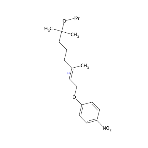 C/C(=C\COc1ccc([N+](=O)[O-])cc1)CCCC(C)(C)OC(C)C